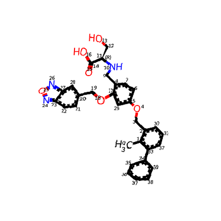 Cc1c(COc2ccc(CN[C@H](CO)C(=O)O)c(OCc3ccc4nonc4c3)c2)cccc1-c1ccccc1